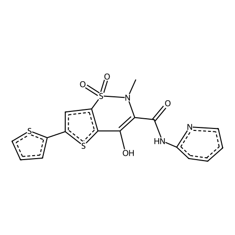 CN1C(C(=O)Nc2ccccn2)=C(O)c2sc(-c3cccs3)cc2S1(=O)=O